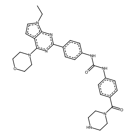 CCn1ccc2c(N3CCOCC3)nc(-c3ccc(NC(=O)Nc4ccc(C(=O)N5CCNCC5)cc4)cc3)nc21